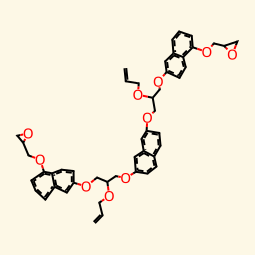 C=CCOC(COc1ccc2ccc(OCC(COc3ccc4c(OCC5CO5)cccc4c3)OCC=C)cc2c1)COc1ccc2c(OCC3CO3)cccc2c1